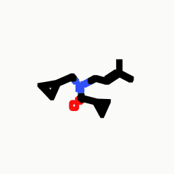 CC(C)=CCN(CC1CC1)C(=O)C1CC1